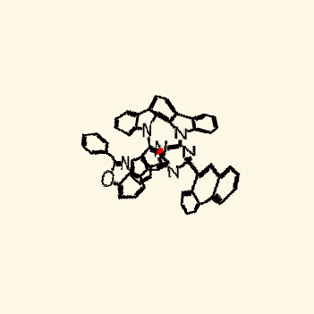 c1ccc(-c2nc(-c3cc4ccccc4c4ccccc34)nc(-n3c4ccccc4c4ccc5c6ccccc6n(-c6cccc(-c7cccc8oc(-c9ccccc9)nc78)c6)c5c43)n2)cc1